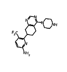 Nc1ccc(C(F)(F)F)c(C2CCc3c(ncnc3N3CCNCC3)C2)n1